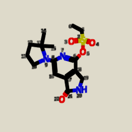 CCS(=O)(=O)Oc1nc(N2CCCC2(C)C)cc2c1CNC2=O